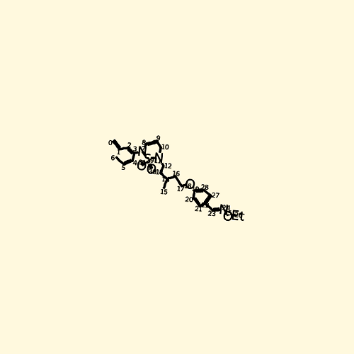 C=C/C=C(\C=C/C)N1C=CCN(CCC(C)CCOc2ccc(/C=N/OCC)cc2)S1(=O)=O